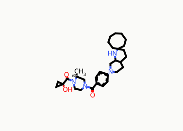 C[C@H]1CN(C(=O)c2ccc(N3CCC4CCC5(CCCCCCC5)NC4C3)cc2)CCN1C(=O)C1(O)CC1